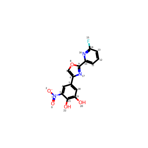 O=[N+]([O-])c1cc(-c2coc(-c3cccc(F)n3)n2)cc(O)c1O